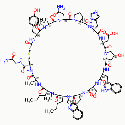 CCCC[C@H]1C(=O)N(C)[C@@H](CCCC)C(=O)N[C@@H](C)C(=O)N[C@H](C(=O)NCC(N)=O)CSCC(=O)N[C@@H](Cc2ccc(O)cc2)C(=O)N(C)[C@@H](C)C(=O)N[C@@H](CC(N)=O)C(=O)N2CCC[C@H]2C(=O)N[C@@H](Cc2cnc[nH]2)C(=O)N[C@@H](CC(=O)O)C(=O)N2C[C@H](O)C[C@H]2C(=O)N[C@@H](Cc2c[nH]c3ccccc23)C(=O)N[C@@H](CO)C(=O)N[C@@H](Cc2c[nH]c3ccccc23)C(=O)N1C